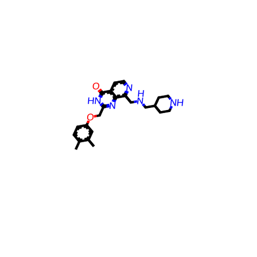 Cc1ccc(OCc2nc3c(CNCC4CCNCC4)nccc3c(=O)[nH]2)cc1C